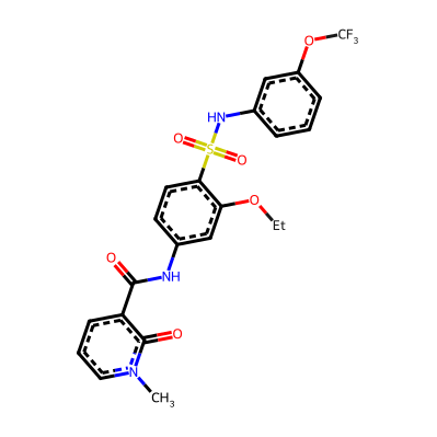 CCOc1cc(NC(=O)c2cccn(C)c2=O)ccc1S(=O)(=O)Nc1cccc(OC(F)(F)F)c1